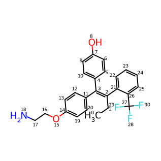 CCC(=C(c1ccc(O)cc1)c1ccc(OCCN)cc1)c1ccccc1C(F)(F)F